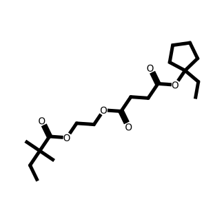 CCC1(OC(=O)CCC(=O)OCCOC(=O)C(C)(C)CC)CCCC1